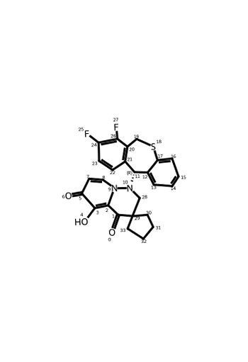 O=C1c2c(O)c(=O)ccn2N([C@H]2c3ccccc3SCc3c2ccc(F)c3F)CC12CCCC2